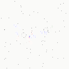 NC1CCN(C(=O)c2ccc(C[N@@+]3(OC(=O)C(F)(F)F)CCN(C4CCN(c5ncc(C(F)(F)F)cc5F)CC4)C3=O)cc2)C1